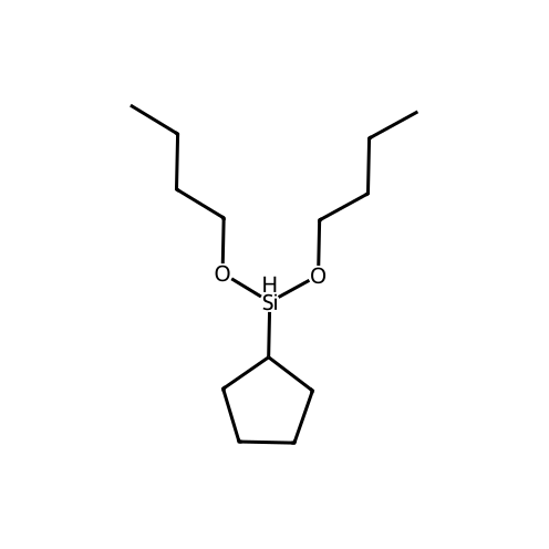 CCCCO[SiH](OCCCC)C1CCCC1